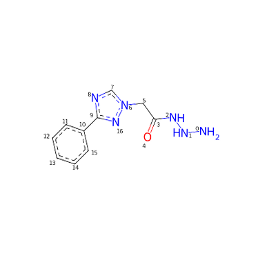 NNNC(=O)Cn1cnc(-c2ccccc2)n1